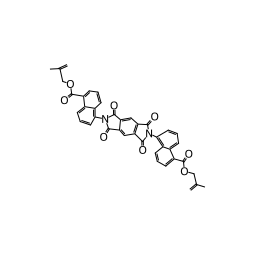 C=C(C)COC(=O)c1cccc2c(-n3c(=O)c4cc5c(=O)n(-c6cccc7c(C(=O)OCC(=C)C)cccc67)c(=O)c5cc4c3=O)cccc12